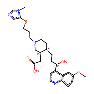 COc1ccc2nccc([C@H](O)CC[C@@H]3CCN(CCCSc4cncn4C)C[C@@H]3CC(=O)O)c2c1